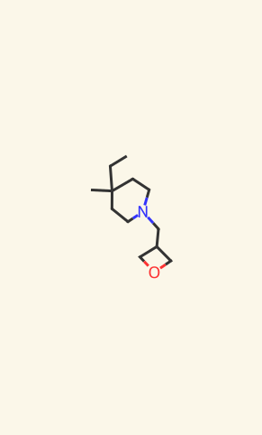 CCC1(C)CCN(CC2COC2)CC1